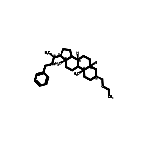 CCOC[C@H]1CC[C@]2(C)C3CC[C@@]4(C)C(CC[C@@H]4[C@H](C)NCc4ccccc4)[C@@H]3CC[C@@H]2C1